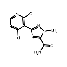 Cn1nc(-c2c(Cl)ncnc2Cl)nc1C(N)=O